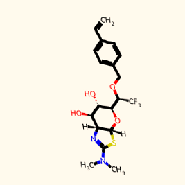 C=Cc1ccc(CO[C@H]([C@H]2O[C@@H]3SC(N(C)C)=N[C@@H]3[C@@H](O)[C@@H]2O)C(F)(F)F)cc1